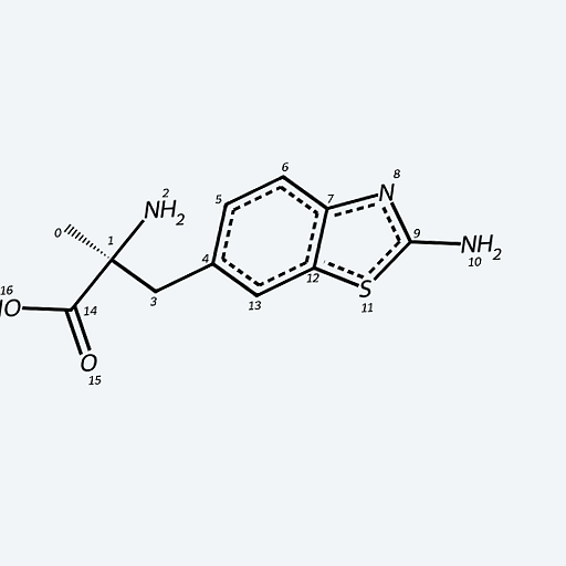 C[C@](N)(Cc1ccc2nc(N)sc2c1)C(=O)O